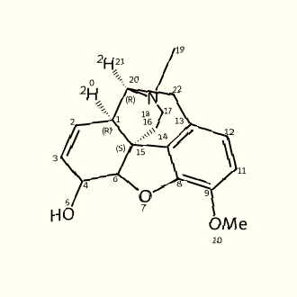 [2H][C@@]12C=CC(O)C3Oc4c(OC)ccc5c4[C@@]31CCN(C)[C@]2([2H])C5